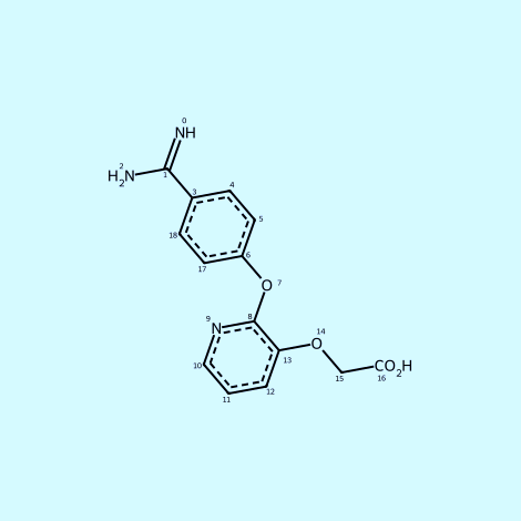 N=C(N)c1ccc(Oc2ncccc2OCC(=O)O)cc1